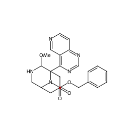 COC1NCC2CC(=O)CC1(c1ncnc3ccncc13)N2C(=O)OCc1ccccc1